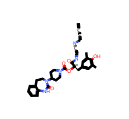 C=C=C=CN=C=C=NC(=O)[C@@H](Cc1cc(C)c(O)c(C)c1)OC(=O)N1CCC(N2CCc3ccccc3NC2=O)CC1